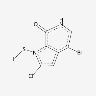 O=c1[nH]cc(Br)c2cc(Cl)n(SI)c12